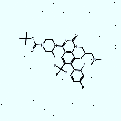 CC1CN(C(=O)OC(C)(C)C)CCN1c1nc(=O)n2c3c(c(-c4ccc(F)cc4F)c(C(F)(F)F)cc13)SC(CN(C)C)C2